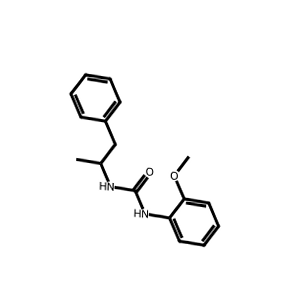 COc1ccccc1NC(=O)NC(C)Cc1ccccc1